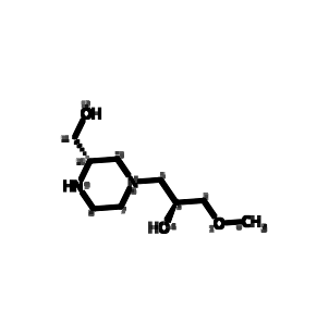 COC[C@@H](O)CN1CCN[C@H](CO)C1